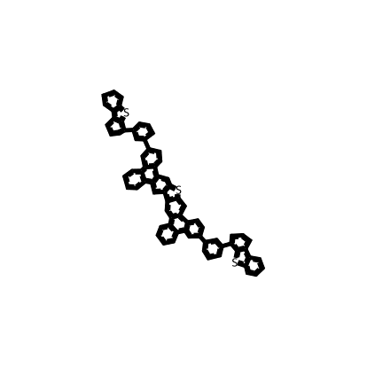 c1cc(-c2ccc3c(c2)c2ccccc2c2cc4c(cc32)sc2cc3c5ccc(-c6cccc(-c7cccc8c7sc7ccccc78)c6)cc5c5ccccc5c3cc24)cc(-c2cccc3c2sc2ccccc23)c1